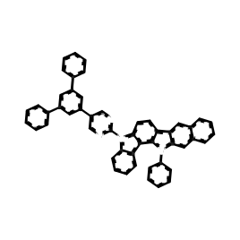 c1ccc(-c2cc(-c3ccccc3)cc(-c3cnc(-n4c5ccccc5c5c4ccc4c6cc7ccccc7cc6n(-c6ccccc6)c45)nc3)c2)cc1